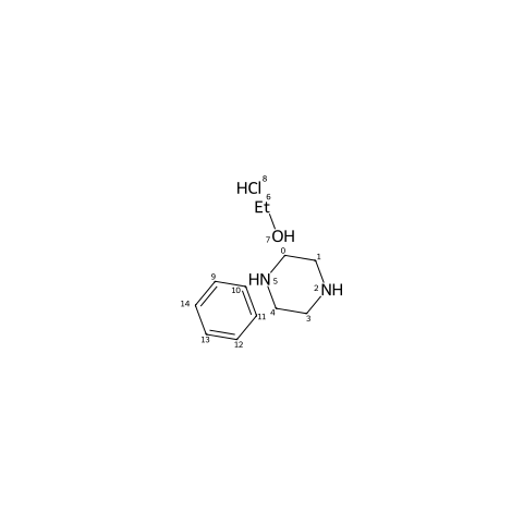 C1CNCCN1.CCO.Cl.c1ccccc1